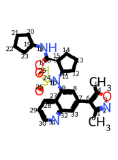 Cc1noc(C)c1-c1cc(N([C@@H]2CCC[C@@H]2C(=O)NC2CCCC2)[SH](=O)=O)c2cccnc2c1